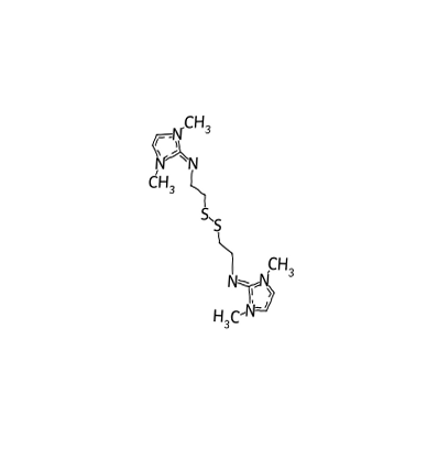 Cn1ccn(C)c1=NCCSSCCN=c1n(C)ccn1C